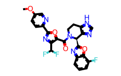 COc1ccc(-c2nc(C(F)F)c(C(=O)N3CCc4[nH]cnc4[C@H]3c3nc4cccc(F)c4o3)o2)nc1